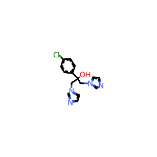 OC(Cn1ccnc1)(Cn1ccnc1)c1ccc(Cl)cc1